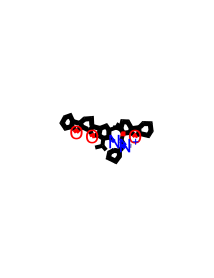 Cc1ccc2c(oc3ccccc32)c1-c1n(-c2c(C(C)C)cc3c(oc4c3ccc3c5ccccc5oc34)c2C(C)C)c2ccccc2[n+]1C